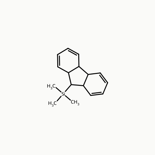 C[Si](C)(C)C1C2C=CC=CC2C2C=CC=CC21